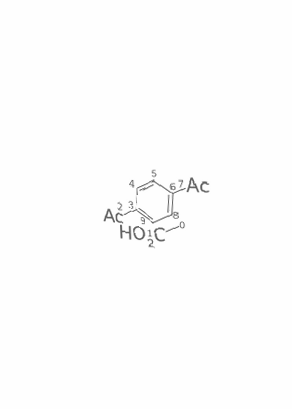 CC(=O)O.CC(=O)c1ccc(C(C)=O)cc1